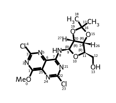 COc1nc(Cl)nc2c(N[C@@H]3O[C@H](CO)[C@H]4OC(C)(C)O[C@H]43)nc(Cl)nc12